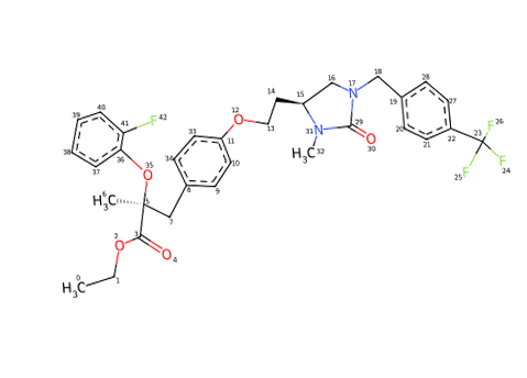 CCOC(=O)[C@](C)(Cc1ccc(OCC[C@H]2CN(Cc3ccc(C(F)(F)F)cc3)C(=O)N2C)cc1)Oc1ccccc1F